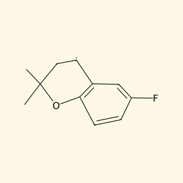 CC1(C)C[CH]c2cc(F)ccc2O1